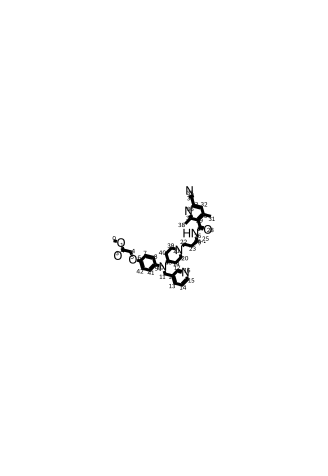 COC(=O)COc1ccc(N(Cc2cccnc2)C2CCN(CC[C@@H](C)NC(=O)c3c(C)cc(C#N)nc3C)CC2)cc1